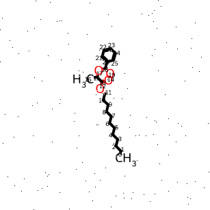 CCCCCCCCCCCCOC(=O)C(C)OC(=O)c1cc[c]cc1